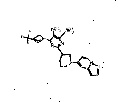 Nc1nc(C2CCOC(c3ccn4nccc4c3)C2)nc(C23CC(C(F)(F)F)(C2)C3)c1N